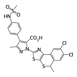 Cc1nn(-c2nc3c(s2)SC(C)c2cc(Cl)c(Cl)cc2-3)c(C(=O)O)c1-c1ccc(NS(C)(=O)=O)cc1